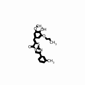 CCCOc1cc(/C=c2\sc3nc(-c4cccc(C)c4)cn3c2=O)cc(OC)c1O